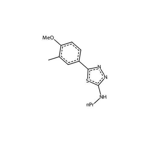 CCCNc1nnc(-c2ccc(OC)c(C)c2)s1